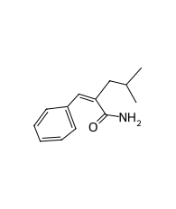 CC(C)CC(=Cc1ccccc1)C(N)=O